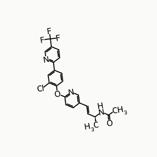 CC(=O)N[C@@H](C)/C=C/c1ccc(Oc2ccc(-c3ccc(C(F)(F)F)cn3)cc2Cl)nc1